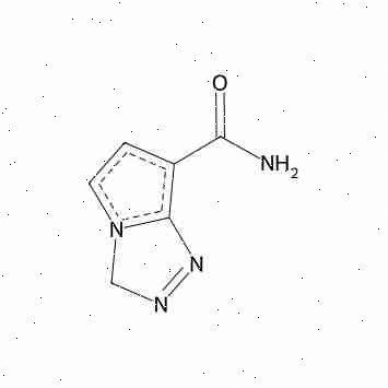 NC(=O)c1ccn2c1N=NC2